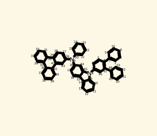 c1ccc(-c2ccc(-n3c4ccccc4c4ccc(N(c5ccccc5)c5ccc6c7ccccc7c7ccccc7c6c5)cc43)cc2-c2ccccc2)cc1